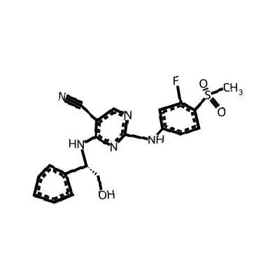 CS(=O)(=O)c1ccc(Nc2ncc(C#N)c(N[C@H](CO)c3ccccc3)n2)cc1F